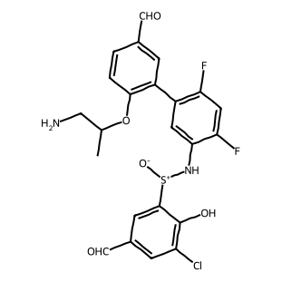 CC(CN)Oc1ccc(C=O)cc1-c1cc(N[S+]([O-])c2cc(C=O)cc(Cl)c2O)c(F)cc1F